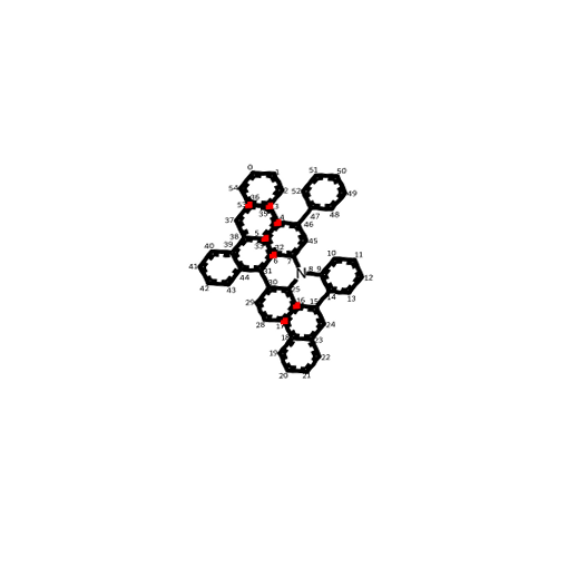 c1ccc(-c2ccc(N(c3ccccc3-c3ccc4ccccc4c3)c3ccccc3-c3cc4ccccc4c4ccccc34)cc2-c2ccccc2)cc1